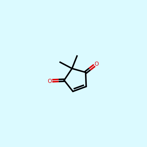 CC1(C)C(=O)C=CC1=O